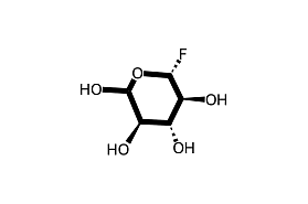 OC1O[C@H](F)[C@@H](O)[C@H](O)[C@H]1O